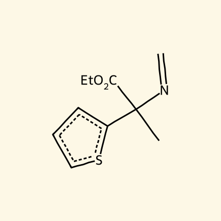 C=NC(C)(C(=O)OCC)c1cccs1